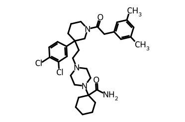 Cc1cc(C)cc(CC(=O)N2CCCC(CCN3CCN(C4(C(N)=O)CCCCC4)CC3)(c3ccc(Cl)c(Cl)c3)C2)c1